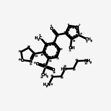 Cc1c(C(=O)c2cnn(C)c2O)ccc(S(C)(=O)=O)c1C1=NOCC1.NCCNCCN